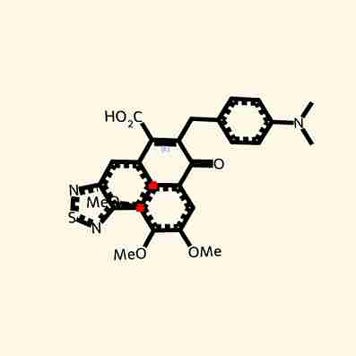 COc1cc(C(=O)/C(Cc2ccc(N(C)C)cc2)=C(/C(=O)O)c2ccc3nsnc3c2)cc(OC)c1OC